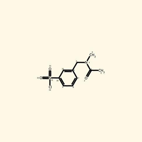 CC(=O)N(C)Cc1cccc(S(=O)(=O)Cl)c1